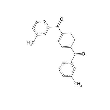 Cc1cccc(C(=O)C2=CC=C(C(=O)c3cccc(C)c3)CC2)c1